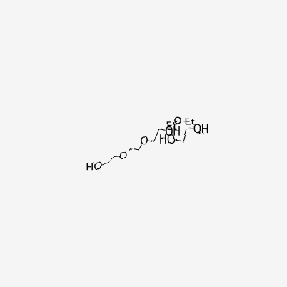 CCOCC.OCCO.OCCOCCOCCO